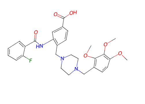 COc1ccc(CN2CCN(Cc3ccc(C(=O)O)cc3NC(=O)c3ccccc3F)CC2)c(OC)c1OC